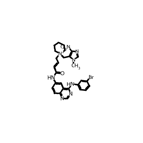 Cn1cnc([N+](=O)[O-])c1C[N+]1(CC=CC(=O)Nc2ccc3ncnc(Nc4cccc(Br)c4)c3c2)CCCCC1